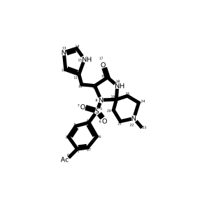 CC(=O)c1ccc(S(=O)(=O)N2C(Cc3cnc[nH]3)C(=O)NC23CCN(C)CC3)cc1